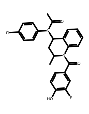 CC(=O)N(c1ccc(Cl)cc1)C1CC(C)N(C(=O)c2ccc(O)c(F)c2)c2ccccc21